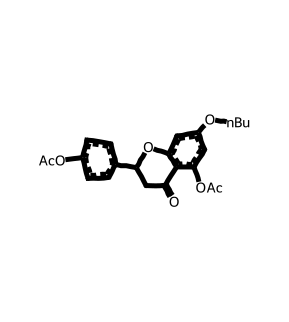 CCCCOc1cc(OC(C)=O)c2c(c1)OC(c1ccc(OC(C)=O)cc1)CC2=O